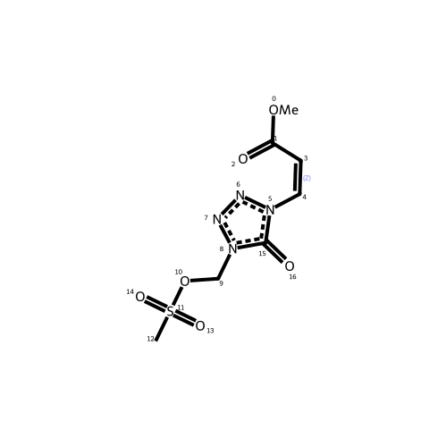 COC(=O)/C=C\n1nnn(COS(C)(=O)=O)c1=O